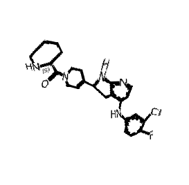 O=C([C@@H]1CCCCN1)N1CC=C(C2Cc3c(Nc4ccc(F)c(Cl)c4)ccnc3N2)CC1